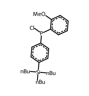 CCCC[Si](CCCC)(CCCC)c1ccc(P(Cl)c2ccccc2OC)cc1